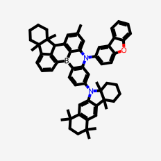 Cc1cc2c3c(c1)N(c1ccc4oc5ccccc5c4c1)c1cc(N4c5cc6c(cc5C5(C)CCCCC45C)C(C)(C)CCC6(C)C)ccc1B3c1cccc3c1C2C1(C)CCCCC31C